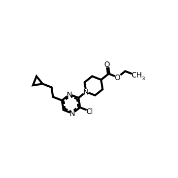 CCOC(=O)C1CCN(c2nc(CCC3CC3)cnc2Cl)CC1